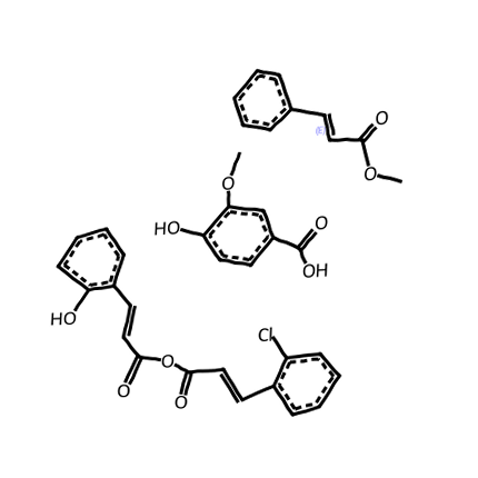 COC(=O)/C=C/c1ccccc1.COc1cc(C(=O)O)ccc1O.O=C(C=Cc1ccccc1O)OC(=O)C=Cc1ccccc1Cl